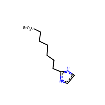 CCOC(=O)CCCCCCc1ncc[nH]1